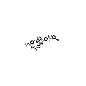 COc1ccc(Cn2nc(NC3CCN(C(=O)O)C3)c3c(Oc4ccc(C(=O)Nc5cc(C#N)ccn5)cc4)ccnc32)cc1